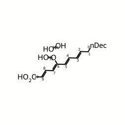 CCCCCCCCCCCC=CC=CC(=CC=CC(=O)O)OO.OO